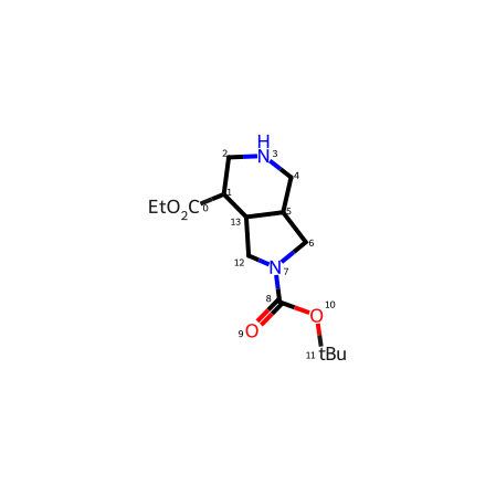 CCOC(=O)C1CNCC2CN(C(=O)OC(C)(C)C)CC21